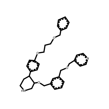 c1ccc(COCCCOc2ccc(C3CCNCC3OCc3cccc(COCc4ccncc4)c3)cc2)cc1